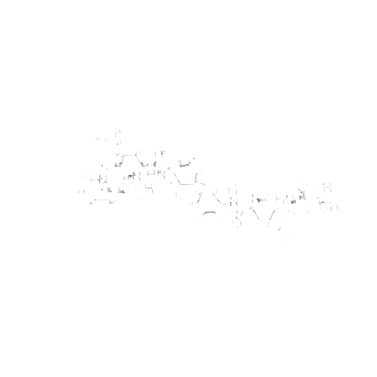 Cc1c(NC(=O)c2cc(C3CC3)c(CN[C@](C)(CO)C(=O)O)cn2)cccc1-c1cccc(NC(=O)c2cc(C3CC3)c(CN3CCCC[C@H]3C(=O)O)cn2)c1C